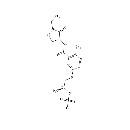 Cc1ncc(OC[C@H](C)NS(=O)(=O)C(F)(F)F)cc1C(=O)NC1CON(CC(F)(F)F)C1=O